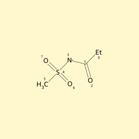 CCC(=O)[N]S(C)(=O)=O